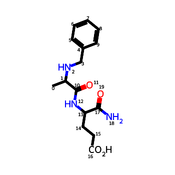 CC(NCc1ccccc1)C(=O)NC(CCC(=O)O)C(N)=O